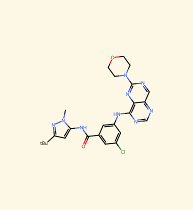 Cn1nc(C(C)(C)C)cc1NC(=O)c1cc(Cl)cc(Nc2ncnc3cnc(N4CCOCC4)nc23)c1